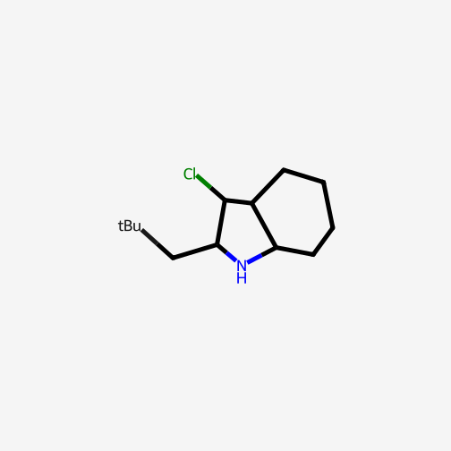 CC(C)(C)CC1NC2CCCCC2C1Cl